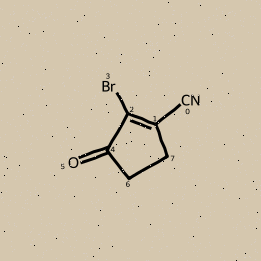 N#CC1=C(Br)C(=O)CC1